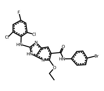 CCOc1nc2[nH]c(Nc3c(Cl)cc(F)cc3Cl)nc2cc1C(=O)Nc1ccc(Br)cc1